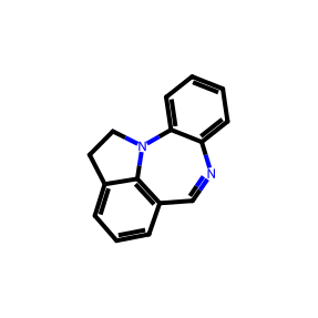 C1=Nc2ccccc2N2CCc3cccc1c32